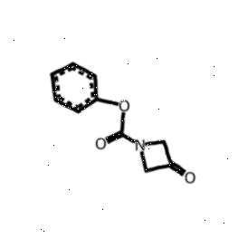 O=C1CN(C(=O)Oc2ccccc2)C1